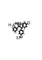 CCOc1ccc(C(c2ccc(Cl)cc2)C(CC)c2ccccc2)cc1.CNC